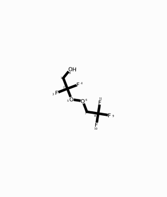 OCC(F)(F)OOCC(F)(F)F